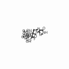 C#C[C@]1(O)[C@H](n2cnc3c(=O)[nH]cnc32)O[C@]2(F)C(OP(=O)(O)OP(=O)(O)OP(=O)(O)O)[C@@]21O